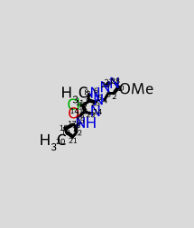 COc1cc(Cn2nc(C)c3c(Cl)c(C(=O)Nc4ccc(C)cc4)cnc32)ncn1